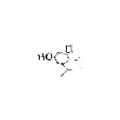 CC(C)c1cc(O)cc(Cl)c1[C@@H]1C[C@@H]1C